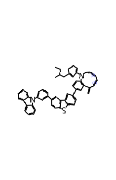 C=C1/C=C\C=C/CN(c2cccc(CC(C)CC)c2)c2ccc(-c3ccc4sc5ccc(-c6cccc(-n7c8ccccc8c8ccccc87)c6)cc5c4c3)cc21